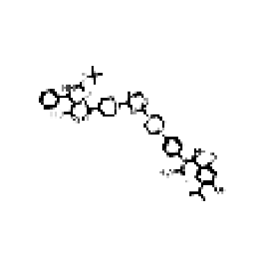 CC(C)c1cc(C(=N)N(C(N)=O)c2ccc(N3CCN(c4ncnc(N5CCC(C(=O)OC(C(=O)O)C(NC(=O)OC(C)(C)C)c6ccccc6)CC5)n4)CC3)cc2)c(O)cc1O